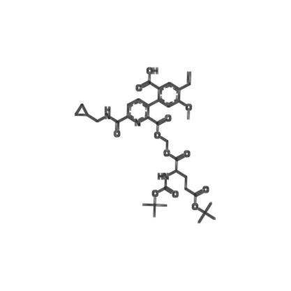 C=Cc1cc(C(=O)O)c(-c2ccc(C(=O)NCC3CC3)nc2C(=O)OCOC(=O)C(CCC(=O)OC(C)(C)C)NC(=O)OC(C)(C)C)cc1OC